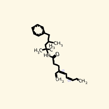 C=C/C=C\C=C(/C=C)CCC(=O)NC(C)(C)CC(C)Cc1ccccc1